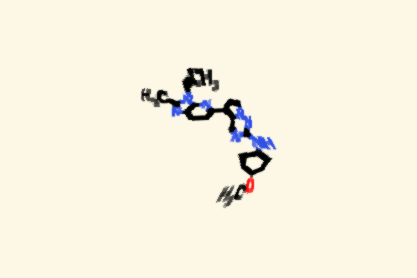 CCn1c(C)nc2ccc(-c3ccn4nc(N[C@H]5CC[C@@H](OC)CC5)ncc34)nc21